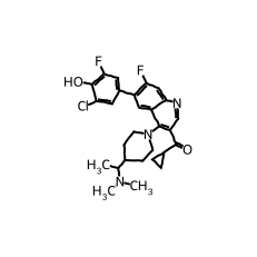 CC(C1CCN(c2c(C(=O)C3CC3)cnc3cc(F)c(-c4cc(F)c(O)c(Cl)c4)cc23)CC1)N(C)C